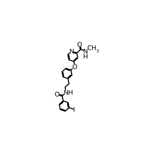 CNC(=O)c1cc(Oc2cccc(CCNC(=O)c3cccc(I)c3)c2)ccn1